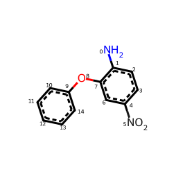 Nc1ccc([N+](=O)[O-])cc1Oc1ccccc1